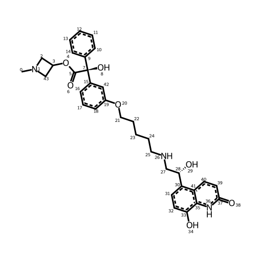 CN1CC(OC(=O)[C@](O)(c2ccccc2)c2cccc(OCCCCCNC[C@H](O)c3ccc(O)c4[nH]c(=O)ccc34)c2)C1